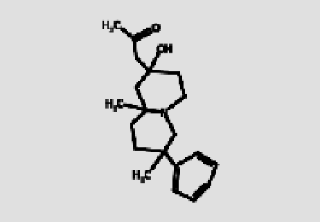 CC(=O)CC1(O)CCN2CC(C)(c3ccccc3)CCC2(C)C1